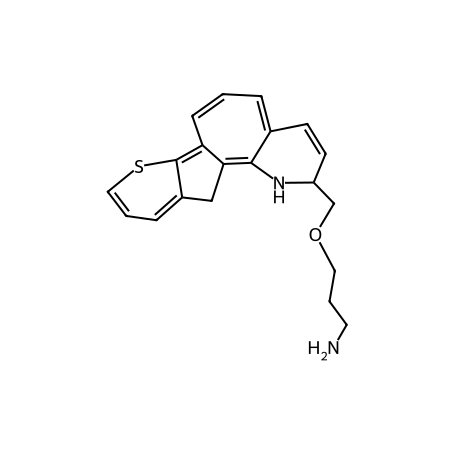 NCCCOCC1C=CC2=CC=CC3=C4SC=CC=C4CC3=C2N1